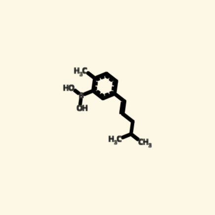 Cc1ccc(C=CCC(C)C)cc1B(O)O